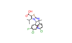 Cc1cc(Cl)c(F)cc1C1N2C(=NC1(C)c1ccc(Cl)nc1)SC(C(=O)O)=C2C(C)C